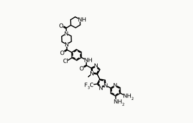 Cn1c(-c2cn(-c3cc(N)c(N)cn3)nc2C(F)(F)F)cnc1C(=O)Nc1ccc(C(=O)N2CCN(C(=O)C3CCNCC3)CC2)c(Cl)c1